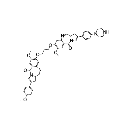 COc1ccc(C2=CN3C(=O)c4cc(OC)c(OCCCOc5cc6c(cc5OC)C(=O)N5C=C(c7ccc(N8CCNCC8)cc7)CC5C=N6)cc4N=CC3C2)cc1